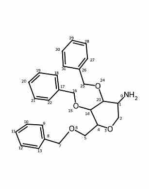 NC1COC(COCc2ccccc2)C(OCc2ccccc2)C1OCc1ccccc1